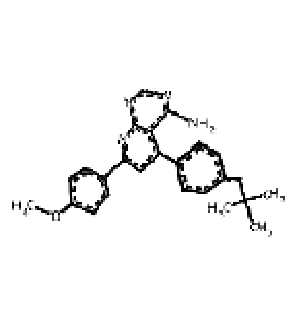 COc1ccc(-c2cc(-c3ccc(CC(C)(C)C)cc3)c3c(N)ncnc3n2)cc1